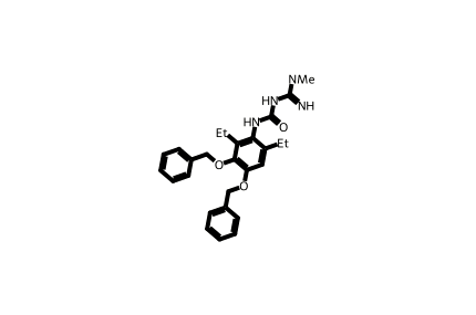 CCc1cc(OCc2ccccc2)c(OCc2ccccc2)c(CC)c1NC(=O)NC(=N)NC